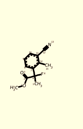 COC(=O)C(C)(F)c1cccc(C#N)c1C